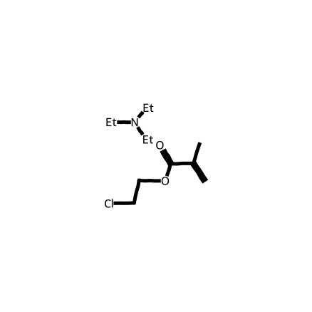 C=C(C)C(=O)OCCCl.CCN(CC)CC